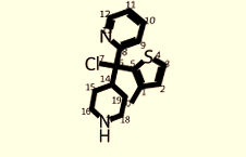 Cc1ccsc1C(Cl)(c1ccccn1)C1CCNCC1